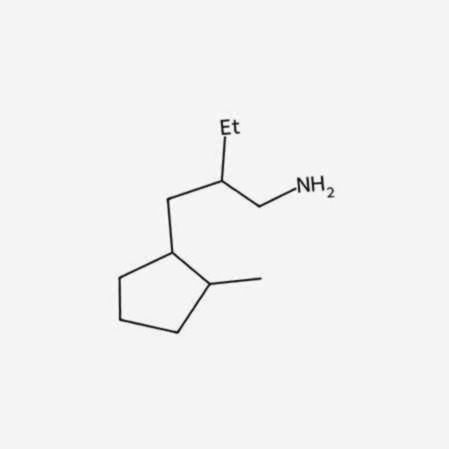 CCC(CN)CC1CCCC1C